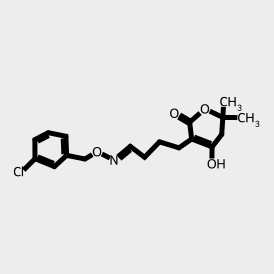 CC1(C)CC(O)=C(CCCC=NOCc2cccc(Cl)c2)C(=O)O1